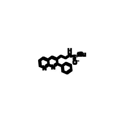 CC(C)(C)[S@+]([O-])NCCc1cc2cccnc2nc1-c1ccccc1